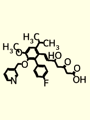 COc1cc(C(C)C)c(C=CC(O)CC(=O)CC(=O)O)c(-c2ccc(F)cc2)c1OCc1cccnc1